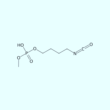 COP(=O)(O)OCCCCN=C=O